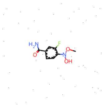 CON(O)c1ccc(C(N)=O)cc1F